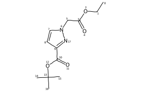 CCOC(=O)Cn1ccc(C(=O)OC(C)(C)C)n1